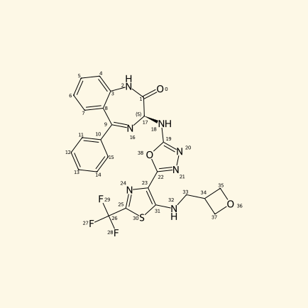 O=C1Nc2ccccc2C(c2ccccc2)=N[C@@H]1Nc1nnc(-c2nc(C(F)(F)F)sc2NCC2COC2)o1